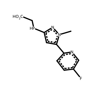 Cn1nc(PCC(=O)O)cc1-c1ccc(F)cn1